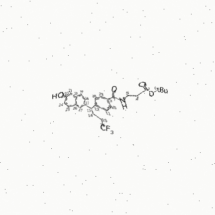 CC(C)(C)OC(=O)CCNC(=O)c1ccc([C@@H](CCC(F)(F)F)c2ccc3cc(O)ccc3c2)cc1